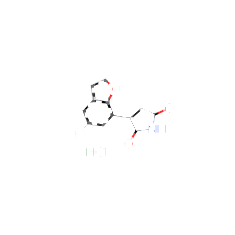 Cl.O=C1C=C(c2cc(F)cc3ccoc23)C(=O)N1